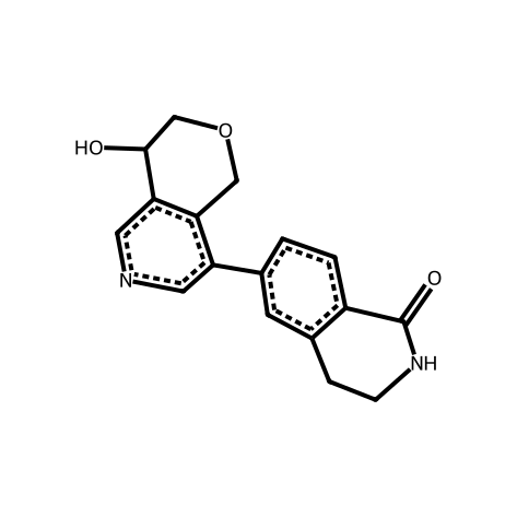 O=C1NCCc2cc(-c3cncc4c3COCC4O)ccc21